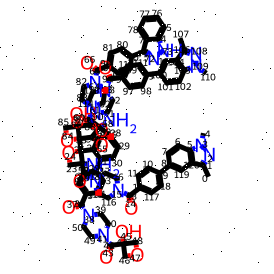 Cc1nn(C)c2ccc(-c3ccc(C(=O)N4CCN(C(=O)C5(N)COC5(c5cc[c]cc5-c5ccc(C(=O)N6CCN(C(=O)C7(O)COC7)CC6)cc5)C5(C6OCC6(N)C(=O)N6CCN(C(=O)c7ccc(-c8n[nH]c9ccccc89)cc7)CC6)OCC5(O)C(=O)N5CCN(C(=O)c6ccc(-c7ccc8c(c7)c(C)nn8C)cc6)CC5)CC4)cc3)cc12